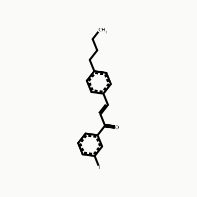 CCCCc1ccc(C=CC(=O)c2cccc(I)c2)cc1